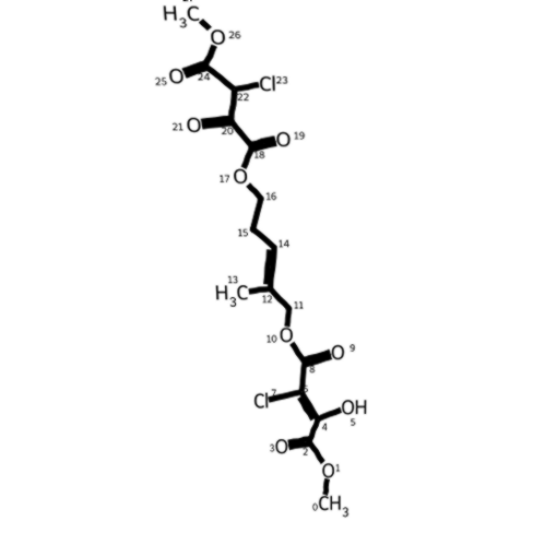 COC(=O)/C(O)=C(\Cl)C(=O)OC/C(C)=C/CCOC(=O)C(=O)C(Cl)C(=O)OC